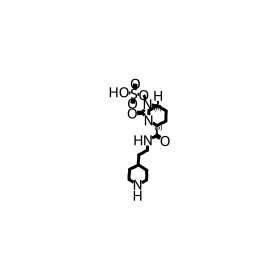 O=C(NCCC1CCNCC1)[C@@H]1CC[C@@H]2CN1C(=O)N2OS(=O)(=O)O